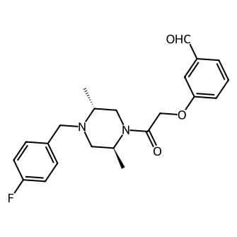 C[C@@H]1CN(C(=O)COc2cccc(C=O)c2)[C@@H](C)CN1Cc1ccc(F)cc1